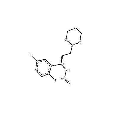 O=[SH]N[C@H](CCC1OCCCO1)c1cc(F)ccc1F